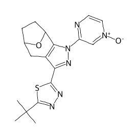 CC(C)(C)c1nnc(-c2nn(-c3c[n+]([O-])ccn3)c3c2CC2CCC3O2)s1